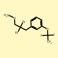 CCC(CC)(CO[SiH3])Cc1cccc(OC(F)(F)C(F)(F)F)c1